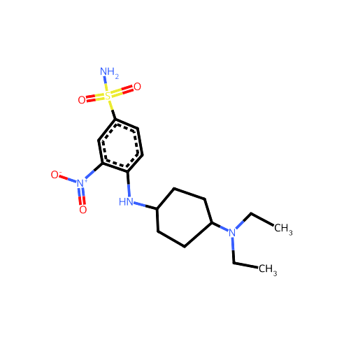 CCN(CC)C1CCC(Nc2ccc(S(N)(=O)=O)cc2[N+](=O)[O-])CC1